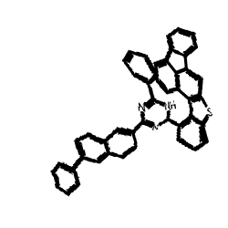 c1ccc(C2=NC(c3ccc4cc(-c5ccccc5)ccc4c3)=NC(c3cccc4sc5cc6c7c(cccc7c5c34)-c3ccccc3-6)N2)cc1